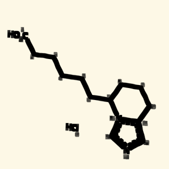 Cl.O=C(O)CCCCCC1CCCc2cncn21